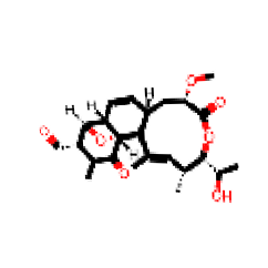 CO[C@H]1C[C@H]2C=C[C@H]3[C@H]4O[C@]2(/C(C)=C/[C@@H](C)[C@@H](C(C)O)OC1=O)[C@@H]3C(=O)C(C)[C@@H]4C=O